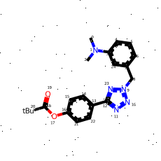 CN(C)c1cccc(Cn2nnc(-c3ccc(OC(=O)C(C)(C)C)cc3)n2)c1